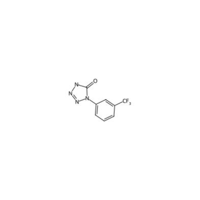 O=C1[N]N=NN1c1cccc(C(F)(F)F)c1